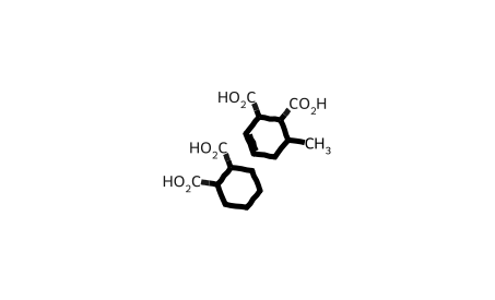 CC1CC=CC(C(=O)O)C1C(=O)O.O=C(O)C1CCCCC1C(=O)O